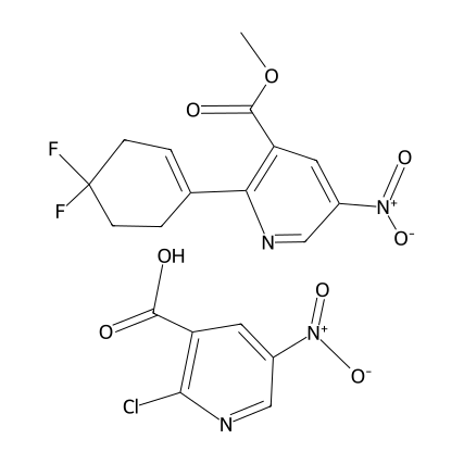 COC(=O)c1cc([N+](=O)[O-])cnc1C1=CCC(F)(F)CC1.O=C(O)c1cc([N+](=O)[O-])cnc1Cl